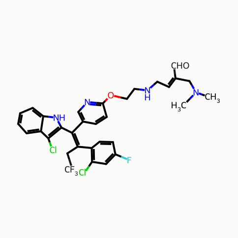 CN(C)C/C(C=O)=C/CNCCOc1ccc(/C(=C(/CC(F)(F)F)c2ccc(F)cc2Cl)c2[nH]c3ccccc3c2Cl)cn1